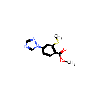 COC(=O)c1ccc(-n2cncn2)cc1SC